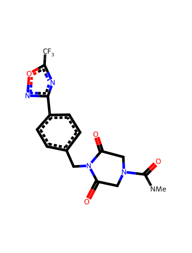 CNC(=O)N1CC(=O)N(Cc2ccc(-c3noc(C(F)(F)F)n3)cc2)C(=O)C1